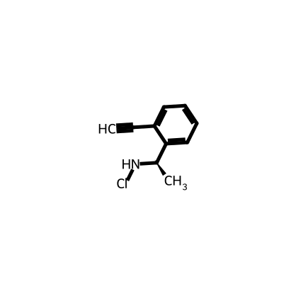 C#Cc1ccccc1[C@@H](C)NCl